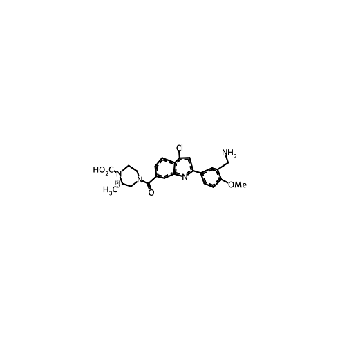 COc1ccc(-c2cc(Cl)c3ccc(C(=O)N4CCN(C(=O)O)[C@@H](C)C4)cc3n2)cc1CN